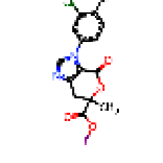 CC1(C(=O)OI)Cc2ncn(-c3ccc(C#N)c(Cl)c3)c2C(=O)O1